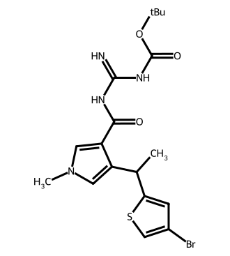 CC(c1cc(Br)cs1)c1cn(C)cc1C(=O)NC(=N)NC(=O)OC(C)(C)C